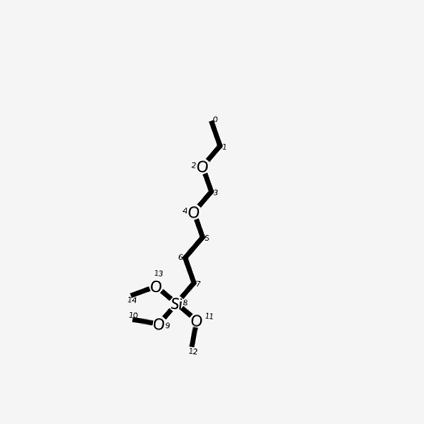 CCOCOCCC[Si](OC)(OC)OC